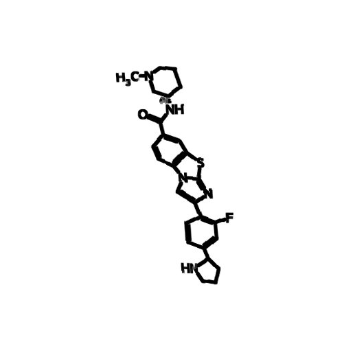 CN1CCC[C@H](NC(=O)c2ccc3c(c2)sc2nc(-c4ccc(C5CCCN5)cc4F)cn23)C1